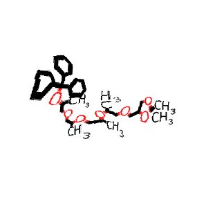 CC(COCC(C)OC(c1ccccc1)(c1ccccc1)c1ccccc1)OCC(C)OC(C)COCC1COC(C)(C)O1